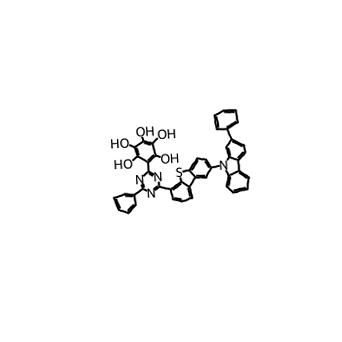 Oc1c(O)c(O)c(-c2nc(-c3ccccc3)nc(-c3cccc4c3sc3ccc(-n5c6ccccc6c6ccc(-c7ccccc7)cc65)cc34)n2)c(O)c1O